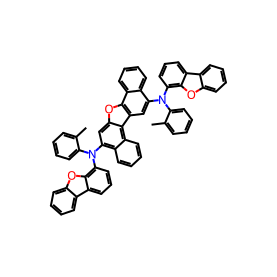 Cc1ccccc1N(c1cc2c(oc3cc(N(c4ccccc4C)c4cccc5c4oc4ccccc45)c4ccccc4c32)c2ccccc12)c1cccc2c1oc1ccccc12